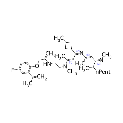 C=C(COc1ccc(F)cc1C(=C)C)NCCN(C)/C(C)=C/C(=N\C(C)=C\C(=N/C)C(C)CCCCC)C1CC(C)C1